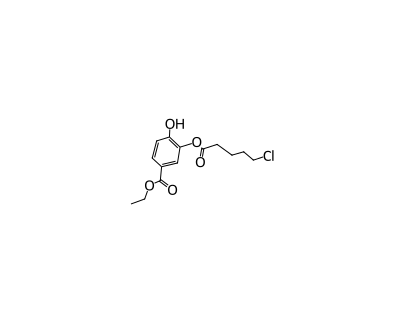 CCOC(=O)c1ccc(O)c(OC(=O)CCCCCl)c1